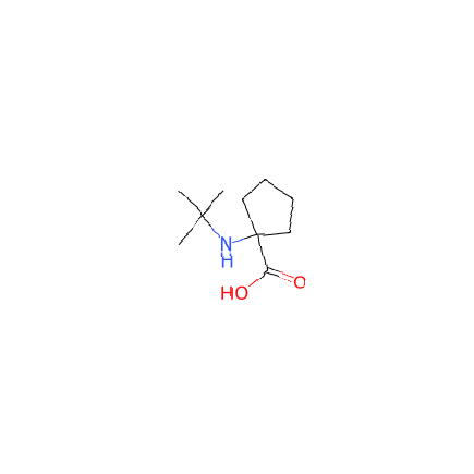 CC(C)(C)NC1(C(=O)O)CCCC1